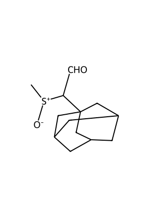 C[S+]([O-])C(C=O)C12CC3CC(CC(C3)C1)C2